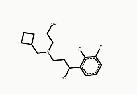 [O]C(CCN(CCO)CC1CCC1)c1cccc(F)c1F